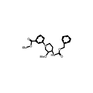 COC1CN(c2cccc(C(=O)OC(C)(C)C)c2)CCC1NC(=O)OCc1ccccc1